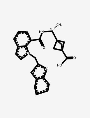 C[C@@H](NC(=O)c1cccc2ccn(Cc3cc4ccccc4o3)c12)C12CC(C(=O)O)(C1)C2